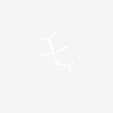 CC(C)C(C)(C)OC(F)F